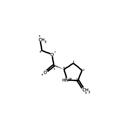 C=C1CC[C@@H](C(=O)OCC)N1